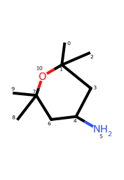 CC1(C)CC(N)CC(C)(C)O1